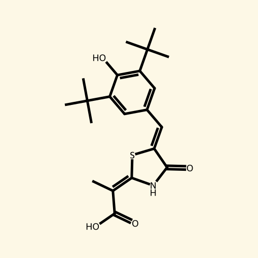 CC(C(=O)O)=c1[nH]c(=O)c(=Cc2cc(C(C)(C)C)c(O)c(C(C)(C)C)c2)s1